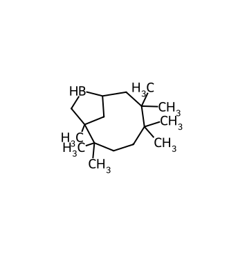 CC1(C)CCC(C)(C)C2(C)CBC(CC1(C)C)C2